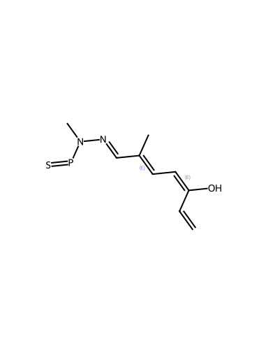 C=C/C(O)=C\C=C(/C)C=NN(C)P=S